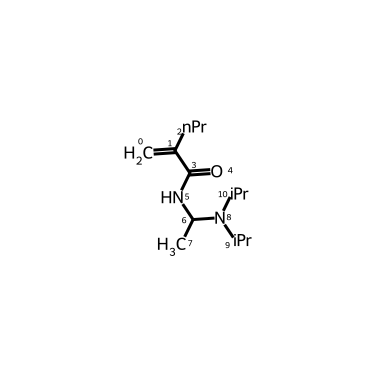 C=C(CCC)C(=O)NC(C)N(C(C)C)C(C)C